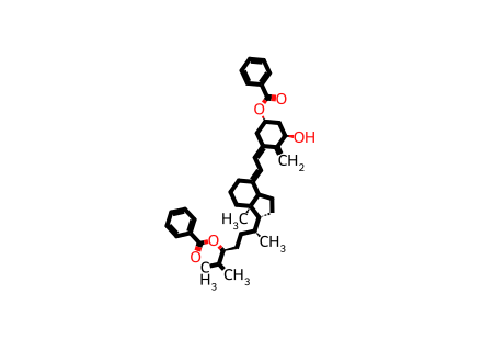 C=C1/C(=C\C=C2CCC[C@@]3(C)C2CC[C@@H]3[C@H](C)CC[C@H](OC(=O)c2ccccc2)C(C)C)C[C@H](OC(=O)c2ccccc2)C[C@H]1O